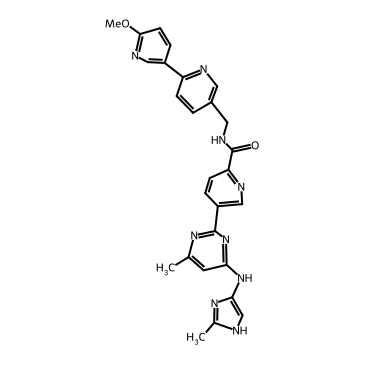 COc1ccc(-c2ccc(CNC(=O)c3ccc(-c4nc(C)cc(Nc5c[nH]c(C)n5)n4)cn3)cn2)cn1